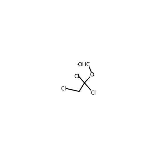 O=[C]OC(Cl)(Cl)CCl